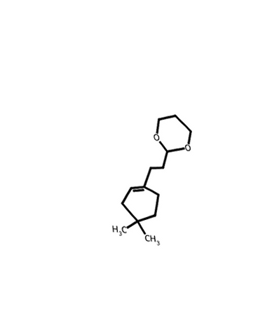 CC1(C)CC=C(CCC2OCCCO2)CC1